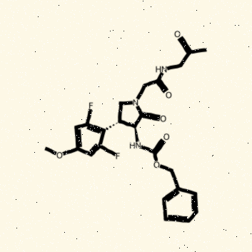 COc1cc(F)c([C@@H]2CN(CC(=O)NCC(C)=O)C(=O)[C@H]2NC(=O)OCc2ccccc2)c(F)c1